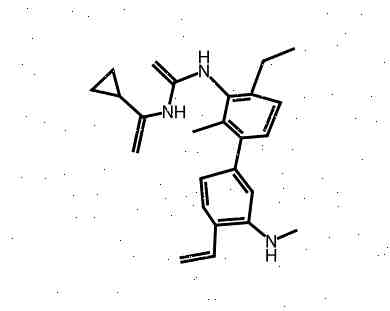 C=Cc1ccc(-c2ccc(CC)c(NC(=C)NC(=C)C3CC3)c2C)cc1NC